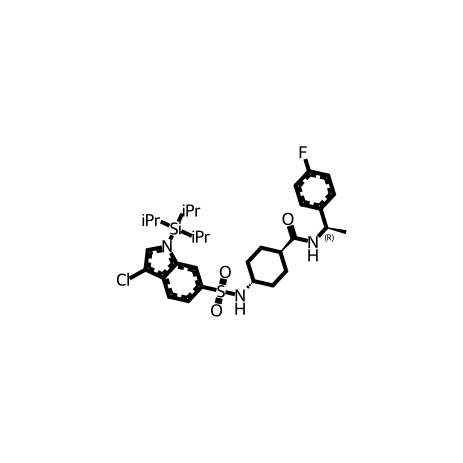 CC(C)[Si](C(C)C)(C(C)C)n1cc(Cl)c2ccc(S(=O)(=O)N[C@H]3CC[C@H](C(=O)N[C@H](C)c4ccc(F)cc4)CC3)cc21